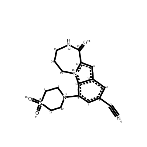 N#Cc1cc(N2CCS(=O)(=O)CC2)c2c(c1)cc1n2CCCNC1=O